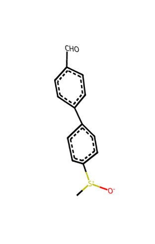 C[S+]([O-])c1ccc(-c2ccc(C=O)cc2)cc1